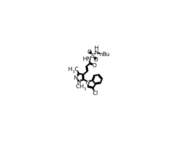 CCCCNS(=O)(=O)NC(=O)C=Cc1c(C)nn(C)c1-n1cc(Cl)c2ccccc21